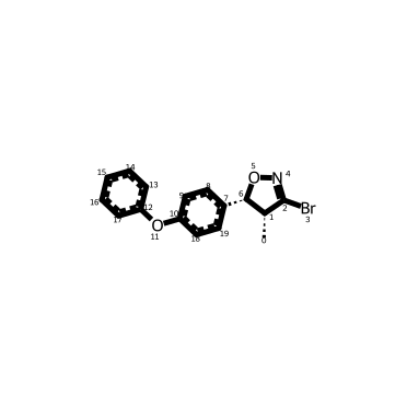 C[C@H]1C(Br)=NO[C@H]1c1ccc(Oc2ccccc2)cc1